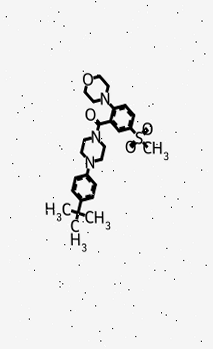 CC(C)(C)c1ccc(N2CCN(C(=O)c3cc(S(C)(=O)=O)ccc3N3CCOCC3)CC2)cc1